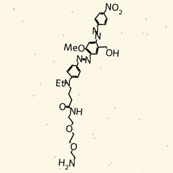 CCN(CCCC(=O)NCCOCCOCCN)c1ccc(N=Nc2cc(CO)c(N=Nc3ccc([N+](=O)[O-])cc3)cc2OC)cc1